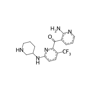 Nc1ncccc1C(=O)c1nc(NC2CCCNC2)ccc1C(F)(F)F